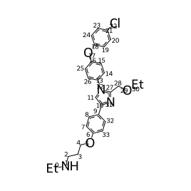 CCNCCCOc1ccc(-c2cn(-c3ccc(Oc4ccc(Cl)cc4)cc3)c(COCC)n2)cc1